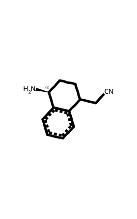 N#CCC1CC[C@H](N)c2ccccc21